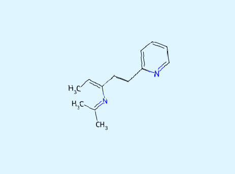 C/C=C(/CCc1ccccn1)N=C(C)C